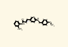 Nc1ccccc1NC(=O)/C=C/c1ccc(NCc2ccc(OC(F)(F)F)cc2)nc1